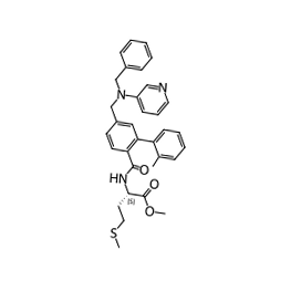 COC(=O)[C@H](CCSC)NC(=O)c1ccc(CN(Cc2ccccc2)c2cccnc2)cc1-c1ccccc1C